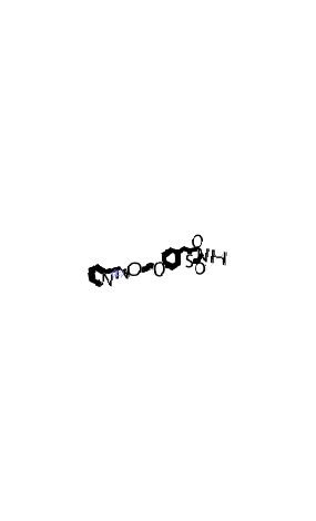 O=C1NC(=O)C(Cc2ccc(OCCO/N=C/c3ccccn3)cc2)S1